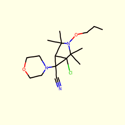 CCCON1C(C)(C)C2C(C#N)(N3CCOCC3)C2(Cl)C1(C)C